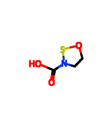 O=C(O)N1CCOS1